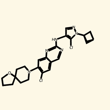 Clc1cc2cnc(Nc3cnn(C45CC(C4)C5)c3Cl)nc2cc1N1CCC2(CCCO2)CC1